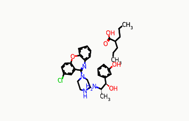 CCCC(CCC)C(=O)O.C[C@H](N)[C@H](O)c1cccc(O)c1.Clc1ccc2c(c1)C(N1CCNCC1)=Nc1ccccc1O2